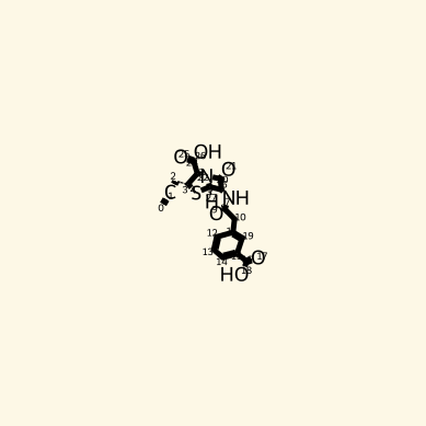 C=C=C[C@H]1S[C@@H]2C(NC(=O)Cc3cccc(C(=O)O)c3)C(=O)N2C1C(=O)O